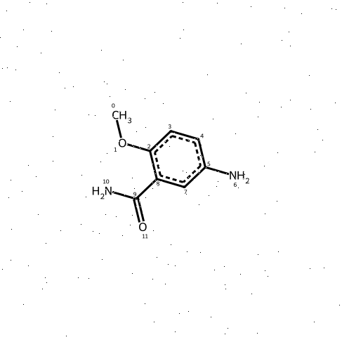 COc1ccc(N)cc1C(N)=O